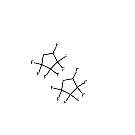 FC1CC(F)(F)C(F)(F)C1(F)F.FC1CC(F)(F)C(F)(F)C1(F)F